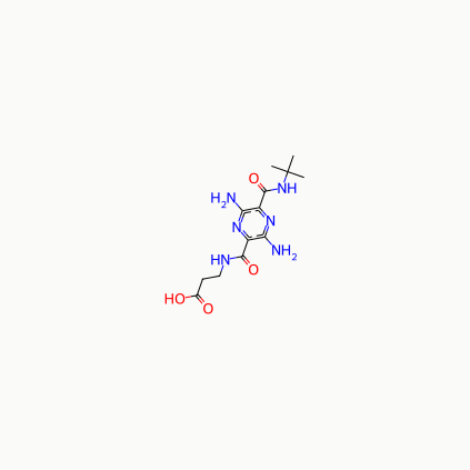 CC(C)(C)NC(=O)c1nc(N)c(C(=O)NCCC(=O)O)nc1N